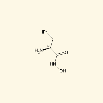 CC(C)C[C@H](N)C(=O)NO